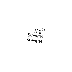 N#C[Se-].N#C[Se-].[Mg+2]